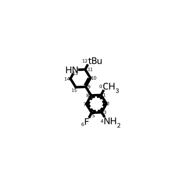 Cc1cc(N)c(F)cc1C1=CC(C(C)(C)C)NCC1